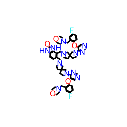 O=c1[nH]c2ccc(CN3CCC4(CCN(c5ncncc5Oc5ccc(F)cc5CN5CCOCC5)C4)C3)c(CN3CCC4(CCN(c5ncncc5Oc5ccc(F)cc5CN5CCOCC5)C4)C3)c2[nH]1